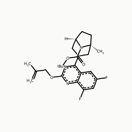 C=C(C)COc1nc(N2C[C@H]3CC[C@@](C)(C2)N3C(=O)OC(C)(C)C)c2cc(F)cc(F)c2n1